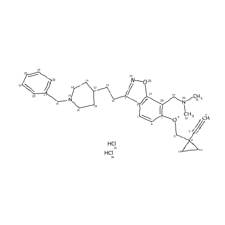 C#CC1(COc2ccc3c(CCC4CCN(Cc5ccccc5)CC4)noc3c2CN(C)C)CC1.Cl.Cl